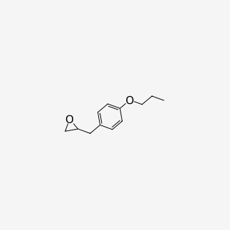 CCCOc1ccc(CC2CO2)cc1